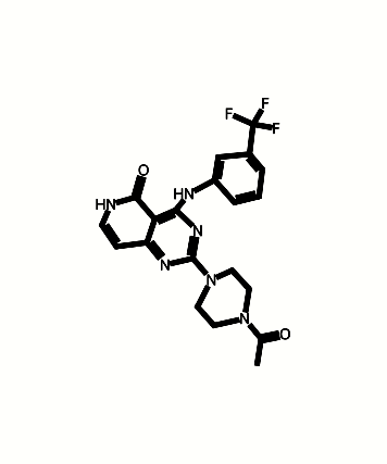 CC(=O)N1CCN(c2nc(Nc3cccc(C(F)(F)F)c3)c3c(=O)[nH]ccc3n2)CC1